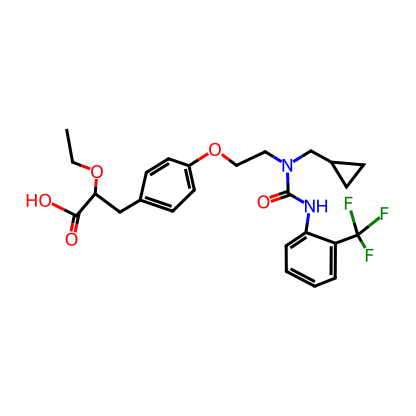 CCOC(Cc1ccc(OCCN(CC2CC2)C(=O)Nc2ccccc2C(F)(F)F)cc1)C(=O)O